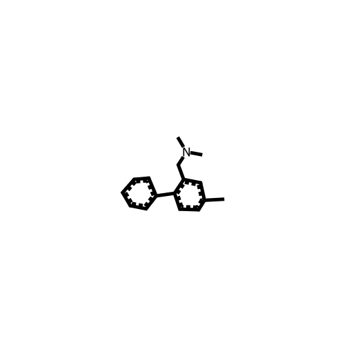 Cc1ccc(-c2ccccc2)c(CN(C)C)c1